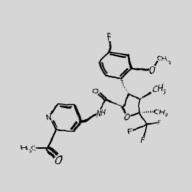 COc1cc(F)ccc1[C@@H]1[C@@H](C)[C@@](C)(C(F)(F)F)O[C@H]1C(=O)Nc1ccnc(C(C)=O)c1